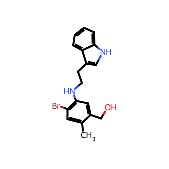 Cc1cc(Br)c(NCCc2c[nH]c3ccccc23)cc1CO